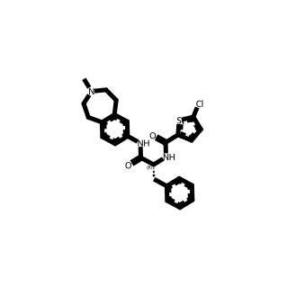 CN1CCc2ccc(NC(=O)[C@@H](Cc3ccccc3)NC(=O)c3ccc(Cl)s3)cc2CC1